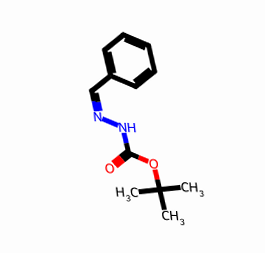 CC(C)(C)OC(=O)N/N=C\c1ccccc1